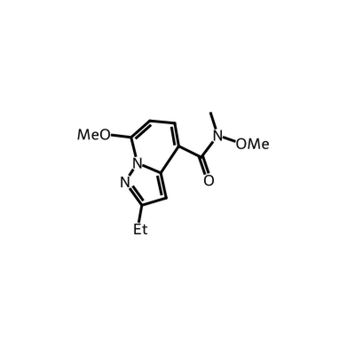 CCc1cc2c(C(=O)N(C)OC)ccc(OC)n2n1